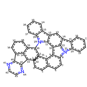 c1ccc2c(c1)ccc1c2c2c3c(cc4c5ccccc5n1c42)c1ccccc1n3-c1ccc2c3c(cccc13)-c1nccnc1-2